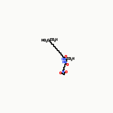 O=C(CCCCCN1C(=O)C=CC1=O)NCC(NC(=O)CCCCCCCCCCCCCCCC(C(=O)O)C(=O)O)C(=O)O